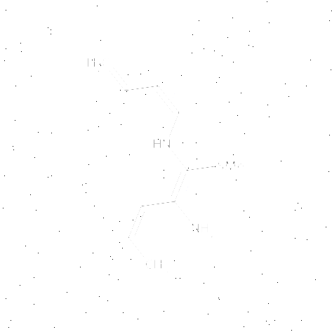 C=C/C=C\N/C(SC)=C(N)\C=C/C